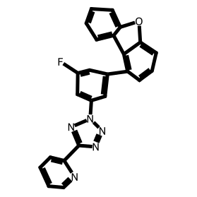 Fc1cc(-c2cccc3oc4ccccc4c23)cc(-n2nnc(-c3ccccn3)n2)c1